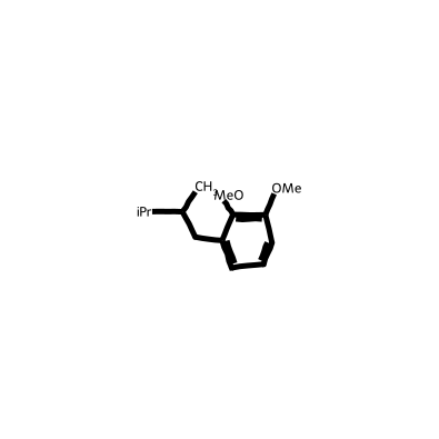 COc1cccc(CC(C)C(C)C)c1OC